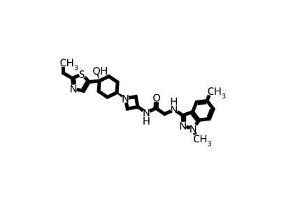 CCc1ncc([C@]2(O)CC[C@H](N3CC(NC(=O)CNc4nn(C)c5ccc(C)cc45)C3)CC2)s1